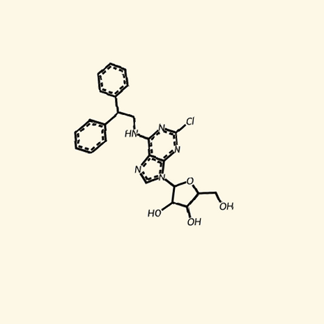 OCC1OC(n2cnc3c(NCC(c4ccccc4)c4ccccc4)nc(Cl)nc32)C(O)C1O